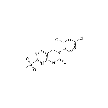 CN1C(=O)N(c2ccc(Cl)cc2Cl)Cc2cnc(S(C)(=O)=O)nc21